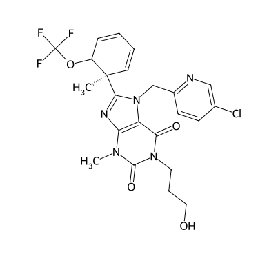 Cn1c(=O)n(CCCO)c(=O)c2c1nc([C@]1(C)C=CC=CC1OC(F)(F)F)n2Cc1ccc(Cl)cn1